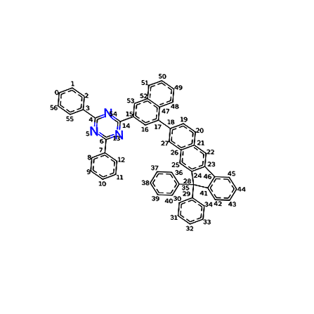 c1ccc(-c2nc(-c3ccccc3)nc(-c3cc(-c4ccc5cc6c(cc5c4)C(c4ccccc4)(c4ccccc4)c4ccccc4-6)c4ccccc4c3)n2)cc1